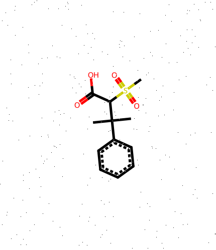 CC(C)(c1ccccc1)C(C(=O)O)S(C)(=O)=O